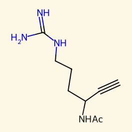 C#CC(CCCNC(=N)N)NC(C)=O